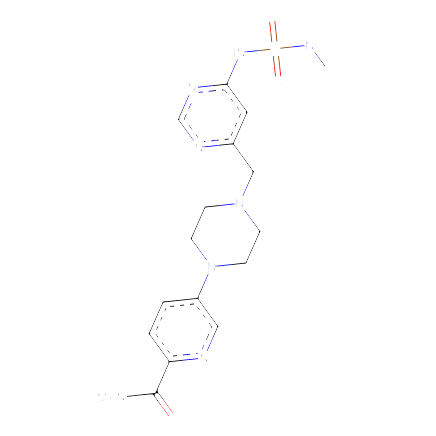 CCNS(=O)(=O)Nc1cc(CN2CCN(c3ccc(C(=O)NC)nc3)CC2)ncn1